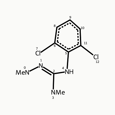 CNN=C(NC)Nc1c(Cl)cccc1Cl